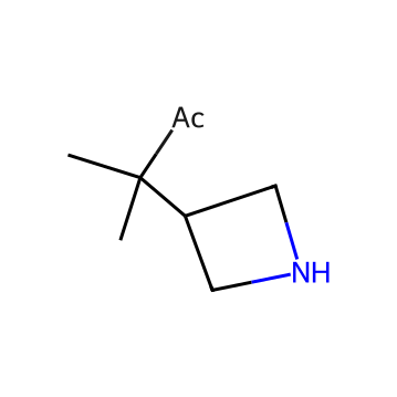 CC(=O)C(C)(C)C1CNC1